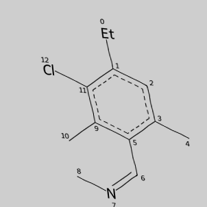 CCc1cc(C)c(/C=N\C)c(C)c1Cl